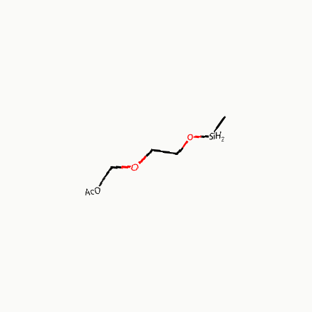 C[SiH2]OCCOCOC(C)=O